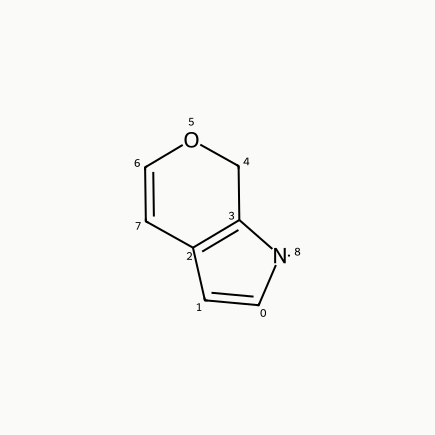 C1=CC2=C(COC=C2)[N]1